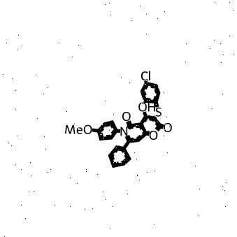 COc1ccc(-n2c(-c3ccccc3)cc3oc(=O)c(Sc4ccc(Cl)cc4)c(O)c3c2=O)cc1